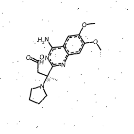 COc1cc2nc([C@](C)(CC(=O)O)N3CCCC3)nc(N)c2cc1OC